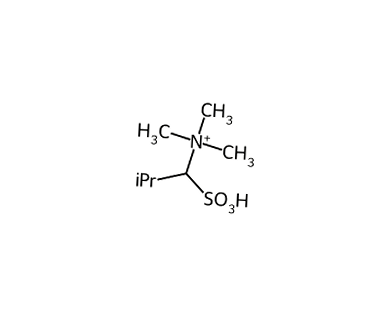 CC(C)C([N+](C)(C)C)S(=O)(=O)O